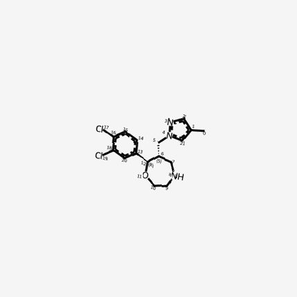 Cc1cnn(C[C@@H]2CNCCO[C@H]2c2ccc(Cl)c(Cl)c2)c1